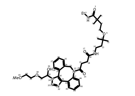 CCNC(=O)C(C)(C)CCOC(C)(C)CCNC(=O)CCC(=O)N1Cc2ccccc2-c2c(nnn2C(O)COCCOC)-c2ccccc21